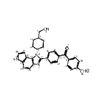 N#CC[C@H]1CC[C@H](n2c(-c3ccc(C(=O)c4ccc(C=O)cc4)cc3)nc3cnc4[nH]ccc4c32)CC1